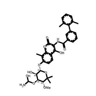 CO[C@@H]1[C@@H](OC(N)O)[C@@H](O)[C@H](Oc2ccc3c(O)c(NC(=O)c4cccc(-c5c(C)cccc5C)c4)c(=O)oc3c2C)OC1(C)C